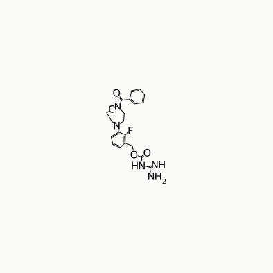 N=C(N)NC(=O)OCc1cccc(N2CCCN(C(=O)c3ccccc3)CC2)c1F